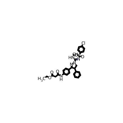 CCOC(=O)CC(=O)Nc1ccc(C2=NN(/C(=N/S(=O)(=O)c3ccc(Cl)cc3)NC)CC2c2ccccc2)cc1